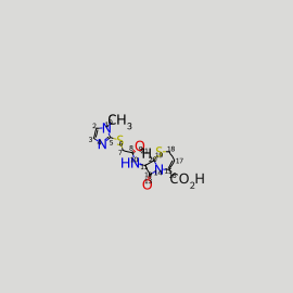 Cn1ccnc1SCC(=O)N[C@@H]1C(=O)N2C(C(=O)O)=CCS[C@H]12